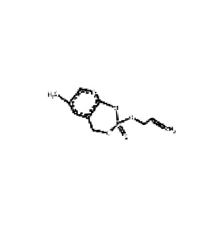 C=CCOP1(=S)OCc2cc(C)cnc2O1